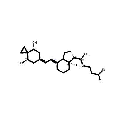 CCC(CC)CCO[C@H](C)[C@H]1CCC2/C(=C/C=C3C[C@@H](O)C4(CC4)[C@H](O)C3)CCC[C@@]21C